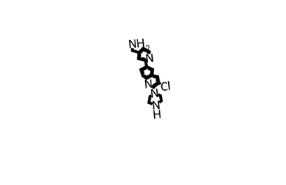 NCc1ccnc(-c2ccc3nc(N4CCNCC4)c(Cl)cc3c2)c1